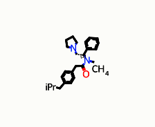 C.CC(C)Cc1ccc(CC(=O)N(C)[C@H](CN2CCCC2)c2ccccc2)cc1